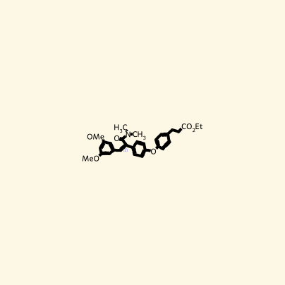 CCOC(=O)CCc1ccc(Oc2ccc(/C(=C/c3cc(OC)cc(OC)c3)C(=O)N(C)C)cc2)cc1